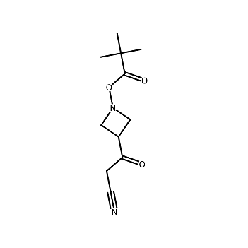 CC(C)(C)C(=O)ON1CC(C(=O)CC#N)C1